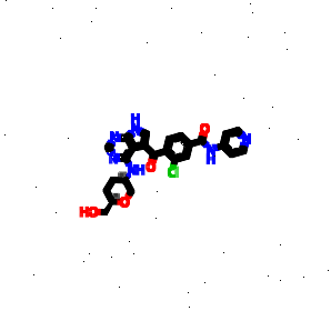 O=C(Nc1ccncc1)c1ccc(C(=O)c2c[nH]c3ncnc(N[C@@H]4CC[C@H](CO)OC4)c23)c(Cl)c1